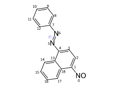 O=Nc1ccc(/N=N/c2ccccc2)c2ccccc12